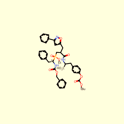 CCOP(=O)(CC(Cc1cc(-c2ccccc2)no1)C(=O)NC(Cc1ccc(OC(=O)OC(C)(C)C)cc1)C(=O)O)[C@H](Cc1ccccc1)NC(=O)OCc1ccccc1